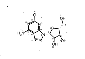 C[C@@]1(O)[C@@H](CO)O[C@@H](n2cnc3c(N)nc(Cl)nc32)[C@@H]1O